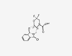 C[C@@H]1OC(F)(F)CN(C(=O)O)[C@@H]1CN1C(=O)c2ccccc2C1=O